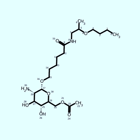 CCCCOC(C)CNC(=O)CCCCCO[C@@H]1OC(COC(C)=O)[C@H](O)C(O)[C@@H]1N